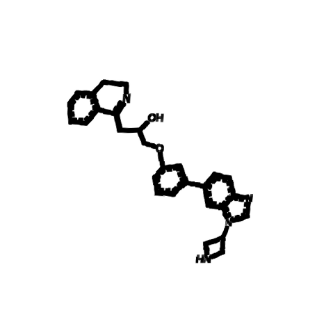 OC(COc1cccc(-c2ccc3ncn(C4CNC4)c3c2)c1)CC1=NCCc2ccccc21